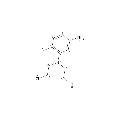 Cc1ccc(N)cc1N(CCCl)CCCl